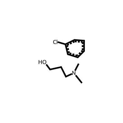 CN(C)CCCO.Clc1ccccc1